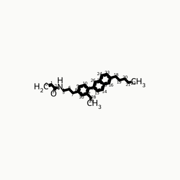 C=CC(=O)NCCCc1ccc(-c2ccc3cc(CCCCC)ccc3c2)c(CC)c1